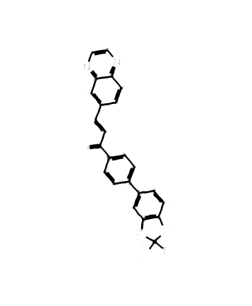 O=C(/C=C/c1ccc2nccnc2c1)c1ccc(-c2ccc3c(c2)OC(F)(F)O3)cc1